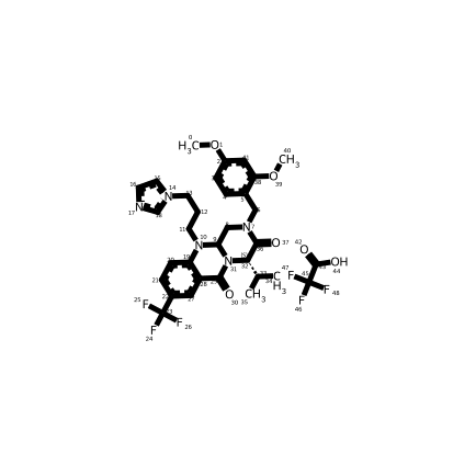 COc1ccc(CN2CC3N(CCCn4ccnc4)c4ccc(C(F)(F)F)cc4C(=O)N3[C@@H](C(C)C)C2=O)c(OC)c1.O=C(O)C(F)(F)F